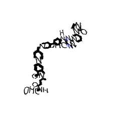 C=N/N=C(C=O)\C(=N/CN1CCCC(N2CCN(C)C2=O)C1)Nc1ccc(C2CCN(CC3CCN(c4ccc5c(c4)CN(C(C)CCC(=O)NC=O)C5=O)CC3)CC2)cc1